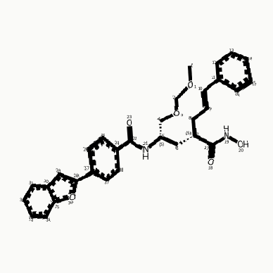 COCOC[C@H](C[C@H](CC=Cc1ccccc1)C(=O)NO)NC(=O)c1ccc(-c2cc3ccccc3o2)cc1